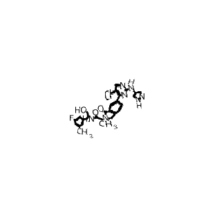 Cc1cc(F)cc(C(CO)NC(=O)C(C)N2Cc3ccc(-c4nc(Nc5cn[nH]c5)ncc4Cl)cc3C2=O)c1